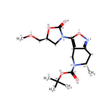 COC[C@@H]1CN(c2onc3c2CN(C(=O)OC(C)(C)C)[C@@H](C)C3)C(=O)O1